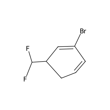 FC(F)C1C=C(Br)C=CC1